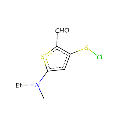 CCN(C)c1cc(SCl)c(C=O)s1